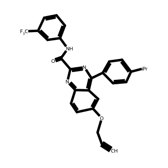 C#CCOc1ccc2nc(C(=O)Nc3cccc(C(F)(F)F)c3)nc(-c3ccc(C(C)C)cc3)c2c1